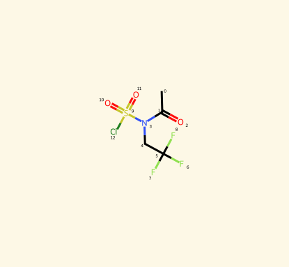 CC(=O)N(CC(F)(F)F)S(=O)(=O)Cl